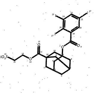 O=C(OC12CC3CC(C1)CC(C(=O)OCCS(=O)(=O)O)(C3)C2)c1cc(I)cc(I)c1I